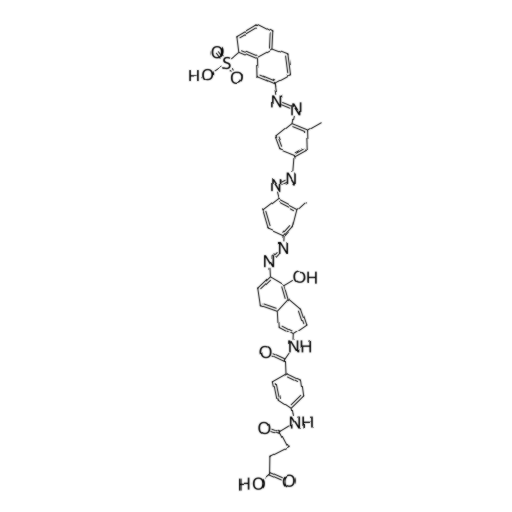 Cc1cc(N=Nc2ccc(N=Nc3ccc4cc(NC(=O)c5ccc(NC(=O)CCC(=O)O)cc5)ccc4c3O)cc2C)ccc1N=Nc1ccc2cccc(S(=O)(=O)O)c2c1